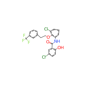 O=C(Nc1cccc(Cl)c1OCCc1cccc(C(F)(F)F)c1)c1cc(Cl)ccc1O